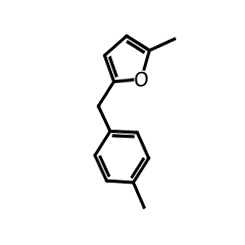 Cc1ccc(Cc2ccc(C)o2)cc1